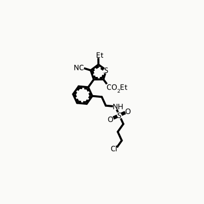 CCOC(=O)c1sc(CC)c(C#N)c1-c1ccccc1CCNS(=O)(=O)CCCCl